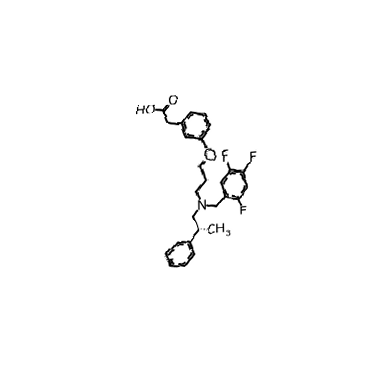 C[C@@H](CN(CCCOc1cccc(CC(=O)O)c1)Cc1cc(F)c(F)cc1F)c1ccccc1